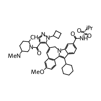 CNC1CCC(C)N(C(=O)c2cnn(C3CCC3)c2C2=Cc3cc(OC)ccc3-c3c(C4CCCCC4)c4ccc(C(=O)NS(=O)(=O)C(C)C)cc4n3C2)C1